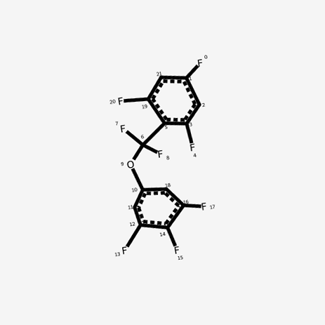 Fc1cc(F)c(C(F)(F)Oc2cc(F)c(F)c(F)c2)c(F)c1